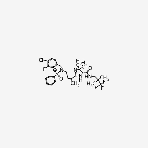 C=C(CCN(Cc1ccc(Cl)c(F)c1)S(=O)(=O)c1ccccc1)C1=NC(C)(C)[C@H](C(=O)NCC(C)(C)C(F)(F)F)N1